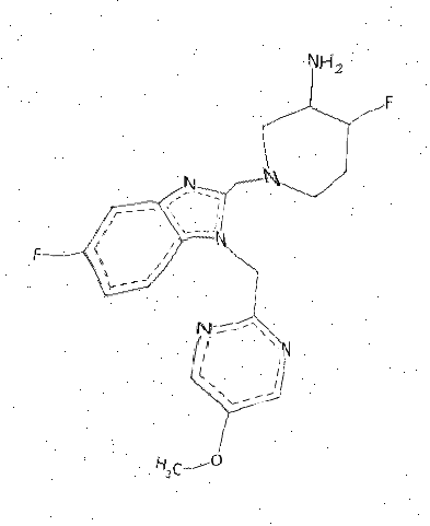 COc1cnc(Cn2c(N3CCC(F)C(N)C3)nc3cc(F)ccc32)nc1